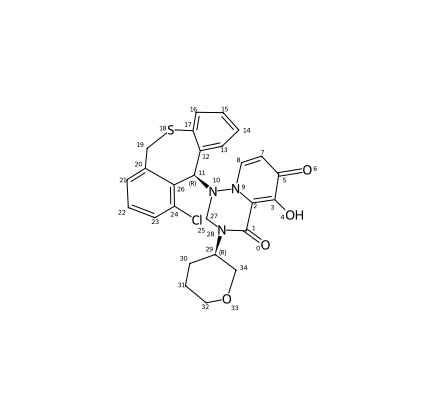 O=C1c2c(O)c(=O)ccn2N([C@@H]2c3ccccc3SCc3cccc(Cl)c32)CN1[C@@H]1CCCOC1